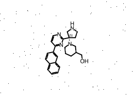 OCC1CCCN([C@@]2(c3nccc(-c4ccc5ccccc5c4)n3)CCNC2)C1